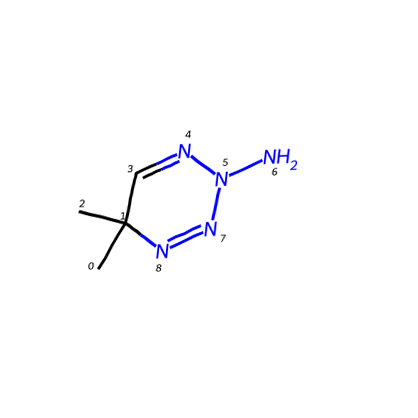 CC1(C)C=NN(N)N=N1